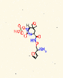 NC(CONC(=O)[C@@H]1CC2(COC2)[C@@H]2CN1C(=O)N2OS(=O)(=O)O)c1ccco1